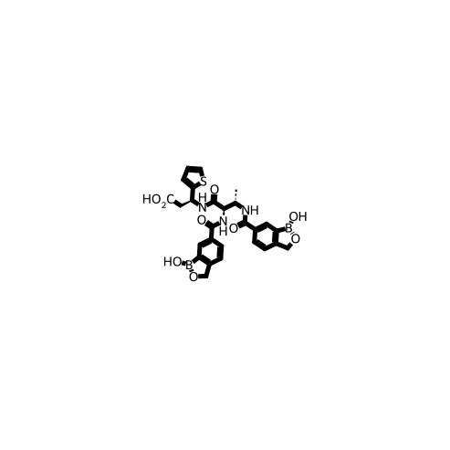 C[C@H](NC(=O)c1ccc2c(c1)B(O)OC2)[C@H](NC(=O)c1ccc2c(c1)B(O)OC2)C(=O)N[C@@H](CC(=O)O)c1cccs1